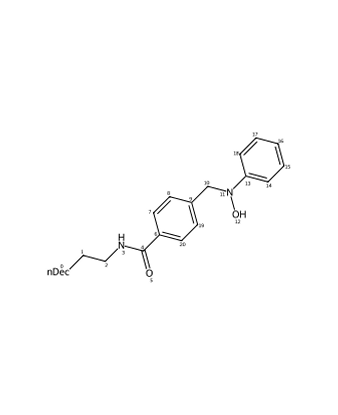 CCCCCCCCCCCCNC(=O)c1ccc(CN(O)c2ccccc2)cc1